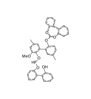 COc1cc(C)cc(-c2cc(C)ccc2Op2oc3ccccc3c3ccccc3o2)c1OPOc1ccccc1-c1ccccc1O